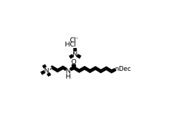 CCCCCCCCCCCCCCCCCC(=O)NCCC[N+](C)(C)C.CN(C)C.Cl.[Cl-]